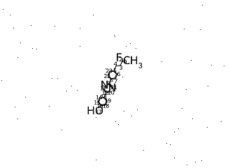 CC(F)CCc1ccc(-c2ncc(-c3ccc(O)cc3)cn2)cc1